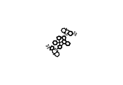 CC12CCCCC1(C)N(c1ccc3c(c1)C(c1ccccc1)(c1ccccc1)c1c-3c3ccccc3c3cc(N4c5ccc([Si](C)(C)C)cc5CC5(C)CCCCC45C)ccc13)c1ccc([Si](C)(C)C)cc1C2